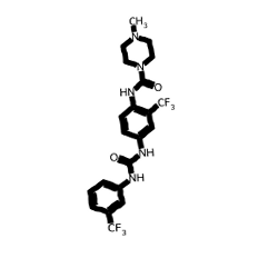 CN1CCN(C(=O)Nc2ccc(NC(=O)Nc3cccc(C(F)(F)F)c3)cc2C(F)(F)F)CC1